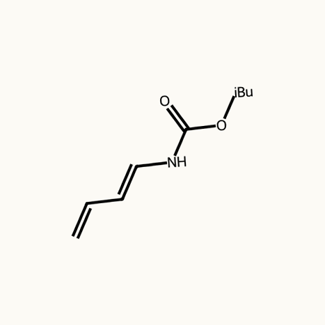 C=CC=CNC(=O)OC(C)CC